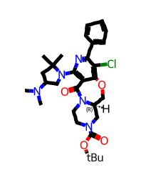 CN(C)C1CN(c2nc(-c3ccccc3)c(Cl)c3c2C(=O)N2CCN(C(=O)OC(C)(C)C)C[C@@H]2CO3)C(C)(C)C1